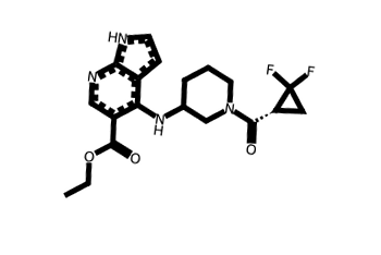 CCOC(=O)c1cnc2[nH]ccc2c1NC1CCCN(C(=O)[C@H]2CC2(F)F)C1